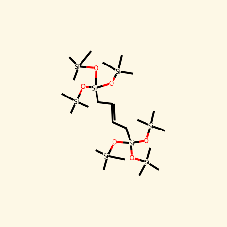 C[Si](C)(C)O[Si](C/C=C/C[Si](O[Si](C)(C)C)(O[Si](C)(C)C)O[Si](C)(C)C)(O[Si](C)(C)C)O[Si](C)(C)C